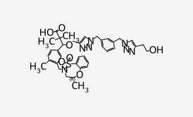 Cc1ccc(C(OCc2cn(Cc3cccc(Cn4cc(CCO)nn4)c3)nn2)C(C)(C)C(=O)O)cc1CN1C[C@@H](C)Oc2ccccc2S1(=O)=O